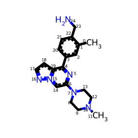 Cc1cc(-c2nc(N3CCN(C)CC3)cn3nccc23)ccc1CN